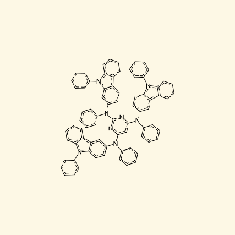 c1ccc(N(c2ccc3c(c2)c2ccccc2n3-c2ccccc2)c2cc(N(c3ccccc3)c3ccc4c(c3)c3ccccc3n4-c3ccccc3)nc(N(c3ccccc3)c3ccc4c5ccccc5n(-c5ccccc5)c4c3)n2)cc1